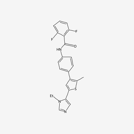 CCn1cncc1-c1cc(-c2ccc(NC(=O)c3c(F)cccc3F)cc2)c(C)s1